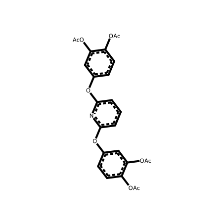 CC(=O)Oc1ccc(Oc2cccc(Oc3ccc(OC(C)=O)c(OC(C)=O)c3)n2)cc1OC(C)=O